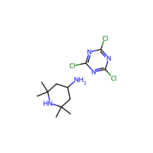 CC1(C)CC(N)CC(C)(C)N1.Clc1nc(Cl)nc(Cl)n1